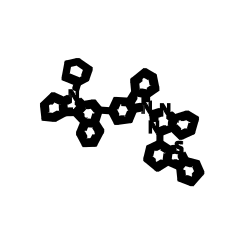 C1=CC(n2c3ccccc3c3c4ccccc4c(-c4ccc5c(c4)c4ccccc4n5-c4nc(-c5cccc6c5sc5ccccc56)c5ccccc5n4)cc32)=CCC1